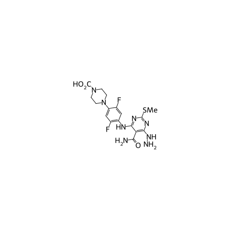 CSc1nc(NN)c(C(N)=O)c(Nc2cc(F)c(N3CCN(C(=O)O)CC3)cc2F)n1